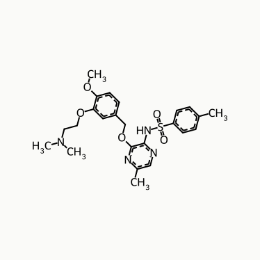 COc1ccc(COc2nc(C)cnc2NS(=O)(=O)c2ccc(C)cc2)cc1OCCN(C)C